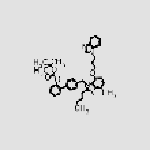 CCCCc1nc2c(C)ccc(OCCCn3cnc4ccccc43)c2n1Cc1ccc(-c2ccccc2OC(=O)OC(C)(C)C)cc1